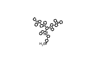 COc1ccc(-c2cccc(-c3nc(-c4cc(-n5c6ccccc6c6c(-c7cccc8c7c7ccccc7n8-c7ccccc7)cccc65)cc(-n5c6ccccc6c6c(-c7cccc8c7c7ccccc7n8-c7ccccc7)cccc65)c4)c4ccc5ccccc5c4n3)c2)cc1